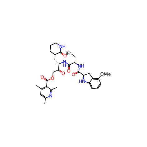 COc1cccc2c1CC(C(=O)N[C@@H](CC(C)C)C(=O)N[C@@H](C[C@@H]1CCCNC1=O)C(=O)COC(=O)c1c(C)cc(C)nc1C)N2